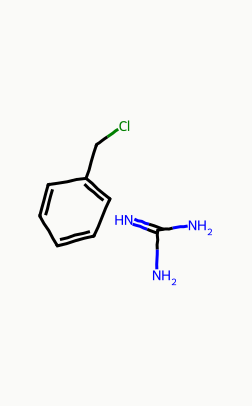 ClCc1ccccc1.N=C(N)N